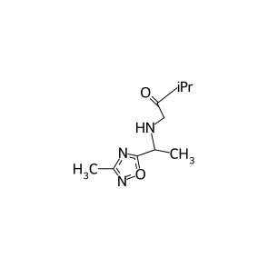 Cc1noc(C(C)NCC(=O)C(C)C)n1